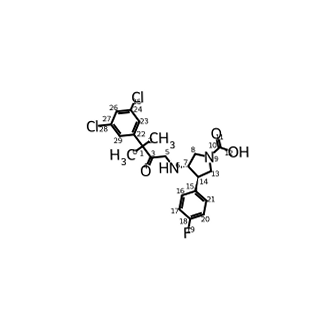 CC(C)(C(=O)CN[C@@H]1CN(C(=O)O)C[C@H]1c1ccc(F)cc1)c1cc(Cl)cc(Cl)c1